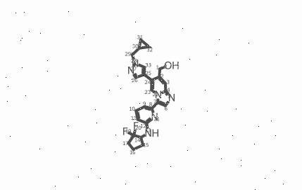 OCc1cc2ncc(-c3cccc(NC4CCCC4(F)F)n3)n2cc1-c1cnn(CC2CC2)c1